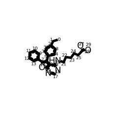 CCc1ccc(-c2c(-c3ccccc3)oc3ncnc(NCCCCCC(=O)OC)c23)cc1